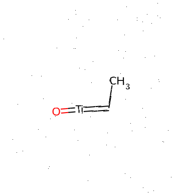 C[CH]=[Ti]=[O]